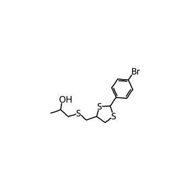 CC(O)CSCC1CSC(c2ccc(Br)cc2)S1